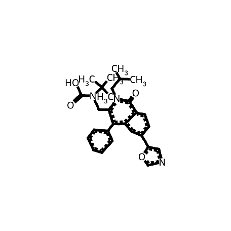 CC(C)Cn1c(CN(C(=O)O)C(C)(C)C)c(-c2ccccc2)c2cc(-c3cnco3)ccc2c1=O